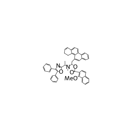 COc1c(C(=O)OC(Cc2cc3ccccc3c3ccc4c(c23)CCC=C4)N(C)C(C)c2nc(-c3ccccc3)c(-c3ccccc3)o2)ccc2ccccc12